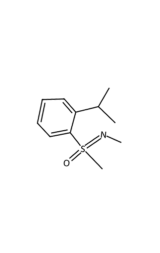 CN=S(C)(=O)c1ccccc1C(C)C